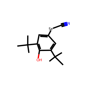 CC(C)(C)c1cc([Se]C#N)cc(C(C)(C)C)c1O